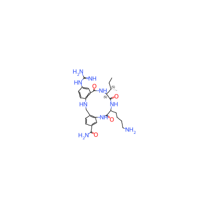 CC[C@H](C)[C@@H]1NC(=O)c2cc(NC(=N)N)ccc2NCc2ccc(C(N)=O)cc2NC(=O)C(CCCCN)NC1=O